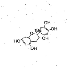 CC(C)(C)C1(c2ccc(O)c(O)c2)Oc2cc(O)cc(O)c2CC1O